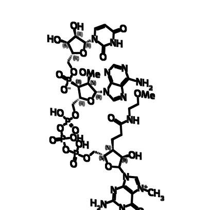 COCCNC(=O)CC[C@@H]1[C@@H](COP(=O)(O)OP(=O)(O)OP(=O)(O)OC[C@H]2O[C@@H](n3cnc4c(N)ncnc43)[C@H](OC)[C@@H]2P(=O)([O-])OC[C@H]2O[C@@H](n3ccc(=O)[nH]c3=O)[C@H](O)[C@@H]2O)OC(n2c[n+](C)c3c(=O)[nH]c(N)nc32)[C@@H]1O